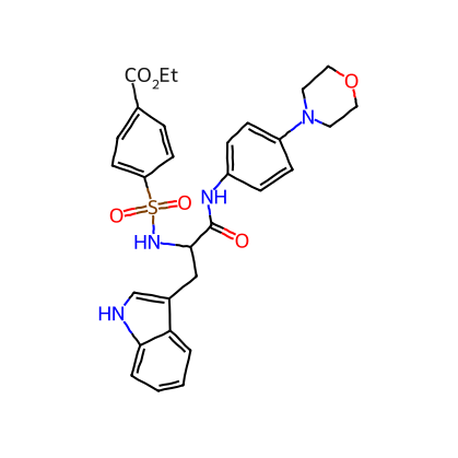 CCOC(=O)c1ccc(S(=O)(=O)NC(Cc2c[nH]c3ccccc23)C(=O)Nc2ccc(N3CCOCC3)cc2)cc1